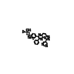 NC1(c2ccc(-c3nc4ccc5nnc(-c6cncnc6)n5c4nc3-c3ccccc3)cc2)CC(O)(C2CC2)C1